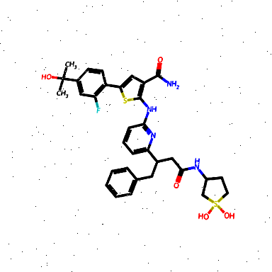 CC(C)(O)c1ccc(-c2cc(C(N)=O)c(Nc3cccc(C(CC(=O)NC4CCS(O)(O)C4)Cc4ccccc4)n3)s2)c(F)c1